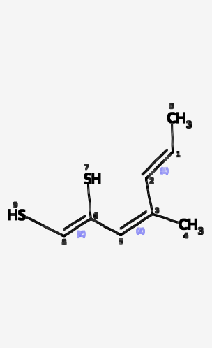 C/C=C/C(C)=C\C(S)=C\S